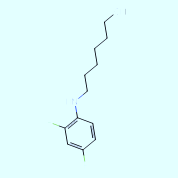 CCCCCCCNc1ccc(F)cc1F